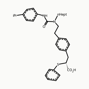 CCCCCCCN(CCc1ccc(C[C@@H](Sc2ccccc2)C(=O)O)cc1)C(=O)Nc1ccc(C(C)C)cc1